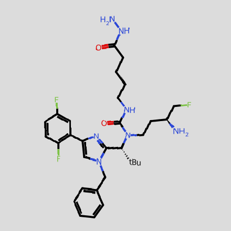 CC(C)(C)[C@H](c1nc(-c2cc(F)ccc2F)cn1Cc1ccccc1)N(CC[C@H](N)CF)C(=O)NCCCCC(=O)NN